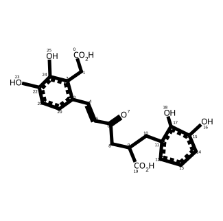 O=C(O)Cc1c(/C=C/C(=O)CC(Cc2cccc(O)c2O)C(=O)O)ccc(O)c1O